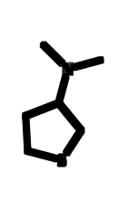 CN(C)C1CCSC1